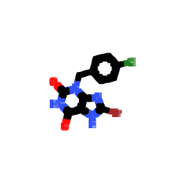 O=c1[nH]c(=O)n(Cc2ccc(Cl)cc2)c2nc(Br)[nH]c12